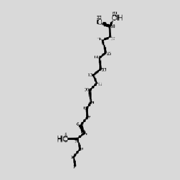 CCCC(O)C=CCCCCCCCCCCCC(=O)O